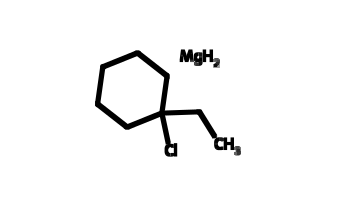 CCC1(Cl)CCCCC1.[MgH2]